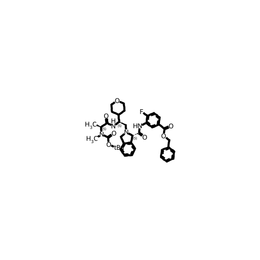 C[C@@H](C(=O)N[C@H](CN1Cc2ccccc2[C@H]1C(=O)Nc1cc(C(=O)OCc2ccccc2)ccc1F)C1CCOCC1)N(C)C(=O)OC(C)(C)C